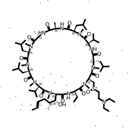 C/C=C/C[C@@H](C)[C@@H](O)[C@@H]1C(=O)N[C@H](CC)C(=O)N(C)[C@H](C[S+]([O-])CCN(CC)CC)C(=O)N(C)[C@@H](CC(C)C)C(=O)N[C@H](C(C)C)C(=O)N(C)[C@H](CC(C)C)C(=O)N[C@H](C)C(=O)N[C@@H](C)C(=O)N(C)[C@H](CC(C)C)C(=O)N(C)[C@H](CC(C)C)C(=O)N(C)[C@H](C(C)C)C(=O)N1C